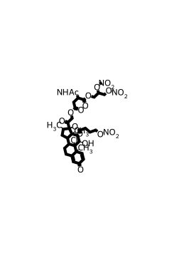 CC(=O)NC(CC(=O)OCC(=O)[C@@]1(OC(=O)CCCO[N+](=O)[O-])[C@@H](C)CC2C3CCC4=CC(=O)C=C[C@]4(C)[C@@]3(Cl)[C@@H](O)C[C@@]21C)C(=O)OCC(CO[N+](=O)[O-])O[N+](=O)[O-]